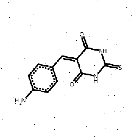 Nc1ccc(C=C2C(=O)NC(=S)NC2=O)cc1